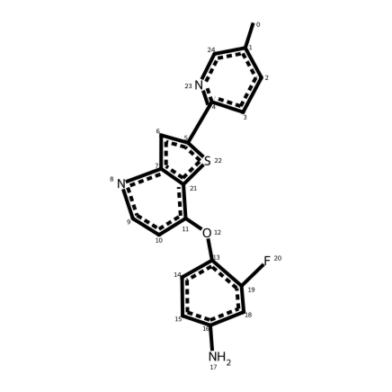 Cc1ccc(-c2cc3nccc(Oc4ccc(N)cc4F)c3s2)nc1